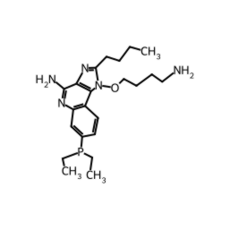 CCCCc1nc2c(N)nc3cc(P(CC)CC)ccc3c2n1OCCCCN